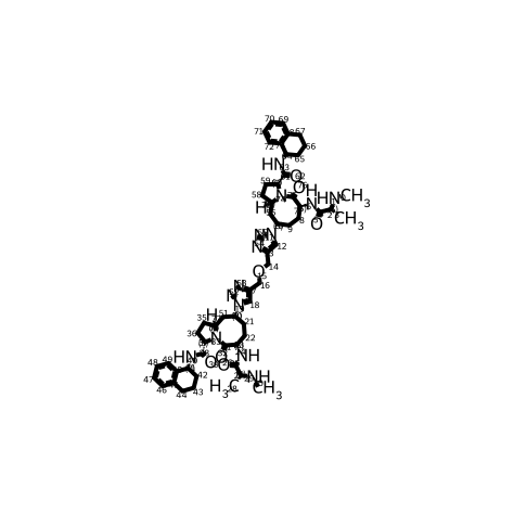 CN[C@@H](C)C(=O)N[C@H]1CC[C@H](n2cc(COCc3cn([C@@H]4CC[C@H](NC(=O)[C@H](C)NC)C(=O)N5[C@H](CC[C@H]5C(=O)N[C@@H]5CCCc6ccccc65)C4)nn3)nn2)C[C@H]2CC[C@@H](C(=O)NC3CCCc4ccccc43)N2C1=O